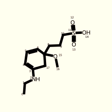 CCNC1=CC=CC(CCCS(=O)(=O)O)(OC)C1